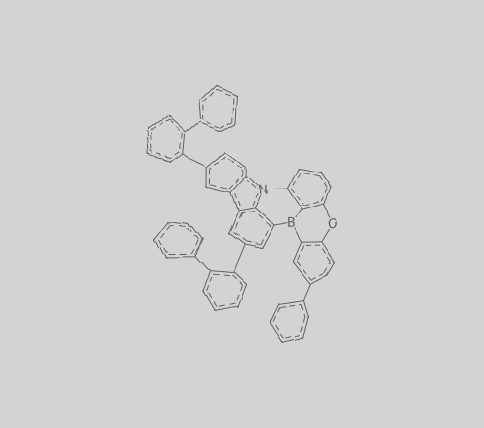 c1ccc(-c2ccc3c(c2)B2c4c(cccc4-n4c5ccc(-c6ccccc6-c6ccccc6)cc5c5cc(-c6ccccc6-c6ccccc6)cc2c54)O3)cc1